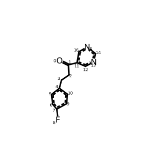 O=C(CCc1ccc(F)cc1)c1cncnc1